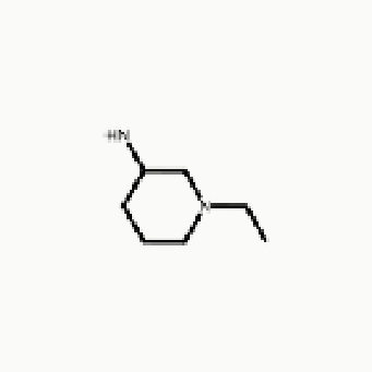 CCN1CCCC([NH])C1